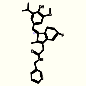 COc1cc(/C=C2/C(C)=C(CC(=O)NCc3cccnc3)c3cc(F)ccc32)cc(C(C)C)c1O